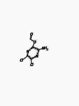 Nc1nc(Cl)c(Cl)nc1OC=O